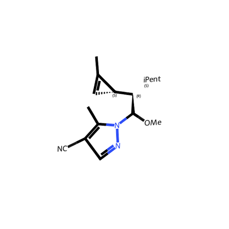 CCC[C@H](C)[C@@H](C(OC)n1ncc(C#N)c1C)[C@@H]1C=C1C